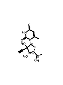 C#CC1(O)[C@@H](O)[C@@H]([C@@H](C)O)O[C@H]1n1c(C)cc(=O)[nH]c1=O